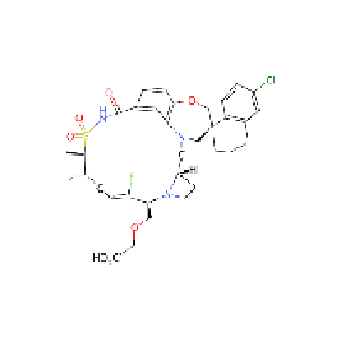 C[C@@H]1[C@@H](C)C/C=C(\F)[C@H](COCC(=O)O)N2CC[C@H]2CN2C[C@@]3(CCCc4cc(Cl)ccc43)COc3ccc(cc32)C(=O)NS1(=O)=O